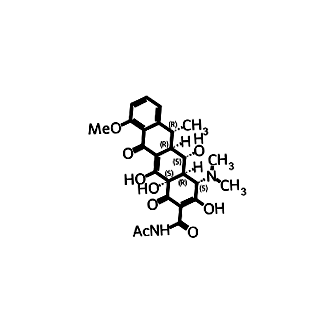 COc1cccc2c1C(=O)C1=C(O)[C@]3(O)C(=O)C(C(=O)NC(C)=O)=C(O)[C@@H](N(C)C)[C@@H]3[C@@H](O)[C@@H]1[C@H]2C